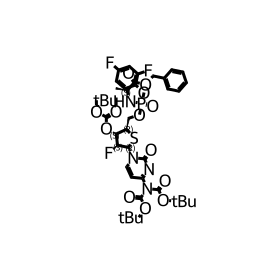 C[C@H](NP(=O)(OC[C@H]1S[C@@H](n2ccc(N(C(=O)OC(C)(C)C)C(=O)OC(C)(C)C)nc2=O)[C@@H](F)[C@@H]1OC(=O)OC(C)(C)C)Oc1ccc(F)cc1F)C(=O)OCc1ccccc1